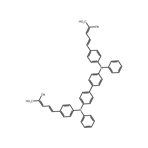 N#C/C(=C\C=C\c1ccc(N(c2ccccc2)c2ccc(-c3ccc(N(c4ccccc4)c4ccc(/C=C/C=C(\C#N)C(=O)O)cc4)cc3)cc2)cc1)C(=O)O